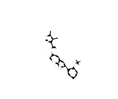 Cc1n[nH]c(C(=O)Nc2cnc3[nH]c(-c4ccccc4OC(F)(F)F)cc3c2)c1C